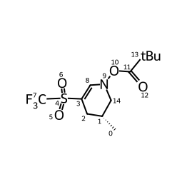 C[C@@H]1CC(S(=O)(=O)C(F)(F)F)=CN(OC(=O)C(C)(C)C)C1